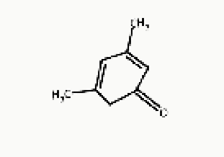 CC1=CC(=O)CC(C)=C1